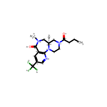 CCCC(=O)N1CCN2c3ncc(C(F)(F)F)cc3C(=O)N(C)C[C@H]2C1